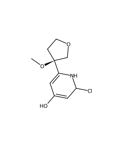 CO[C@@]1(C2=CC(O)=CC(Cl)N2)CCOC1